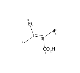 CCC(C)=C(C(=O)O)C(C)C